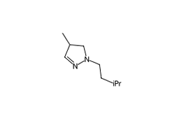 CC(C)CCN1CC(C)C=N1